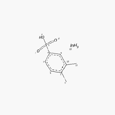 Cc1ccc(S(=O)(=O)O)cc1C.[InH3]